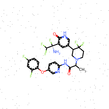 CC(C(=O)Nc1ccc(Oc2ccc(F)cc2F)cn1)N1CCC(F)(F)C(c2c[nH]c(=O)c([C@](N)(F)C(F)F)c2)C1